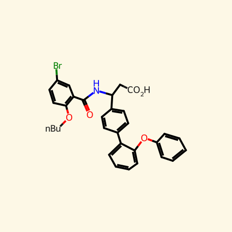 CCCCOc1ccc(Br)cc1C(=O)NC(CC(=O)O)c1ccc(-c2ccccc2Oc2ccccc2)cc1